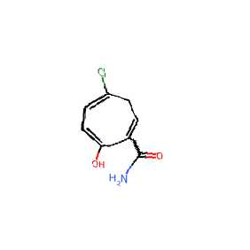 NC(=O)C1=CCC(Cl)=CC=C1O